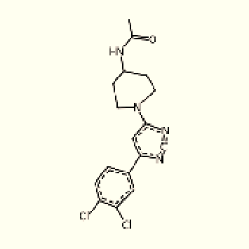 CC(=O)NC1CCN(c2cc(-c3ccc(Cl)c(Cl)c3)ncn2)CC1